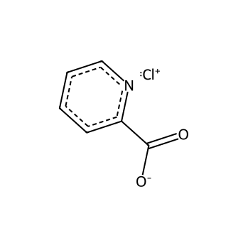 O=C([O-])c1ccccn1.[Cl+]